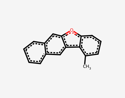 Cc1cccc2oc3cc4ccccc4cc3c12